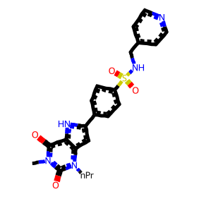 CCCn1c(=O)n(C)c(=O)c2[nH]c(-c3ccc(S(=O)(=O)NCc4ccncc4)cc3)cc21